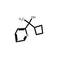 CC(O)(c1ccccn1)C1CCC1